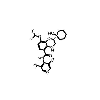 O=C(Nc1c(Cl)cncc1Cl)c1ccc(OC(F)F)c2c1NC[C@@H](C1(O)CCCCC1)O2